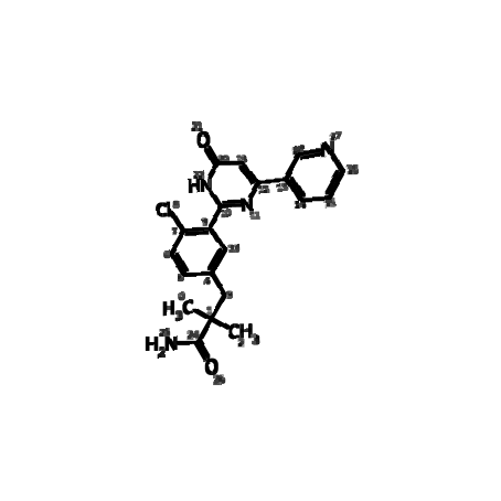 CC(C)(Cc1ccc(Cl)c(-c2nc(-c3cccnc3)cc(=O)[nH]2)c1)C(N)=O